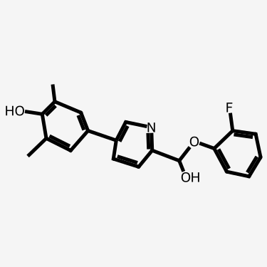 Cc1cc(-c2ccc(C(O)Oc3ccccc3F)nc2)cc(C)c1O